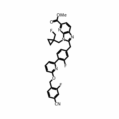 COC(=O)c1ccc2nc(Cc3ccc(-c4cccc(OCc5ccc(C#N)cc5F)n4)c(F)c3)n(CC3(CF)CC3)c2n1